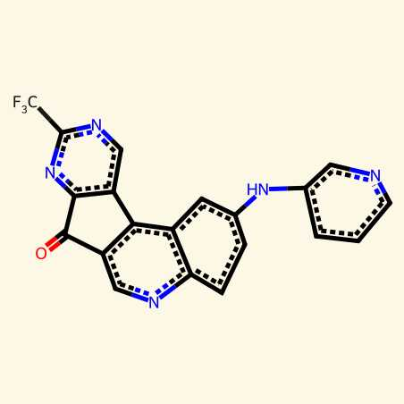 O=C1c2cnc3ccc(Nc4cccnc4)cc3c2-c2cnc(C(F)(F)F)nc21